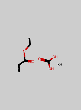 CCOC(=O)CC.O=C(O)O.[KH]